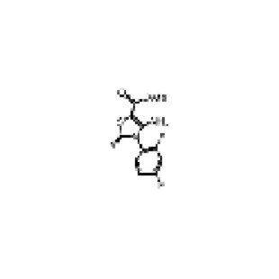 COC(=O)c1sc(=S)n(-c2ccc(F)cc2F)c1N